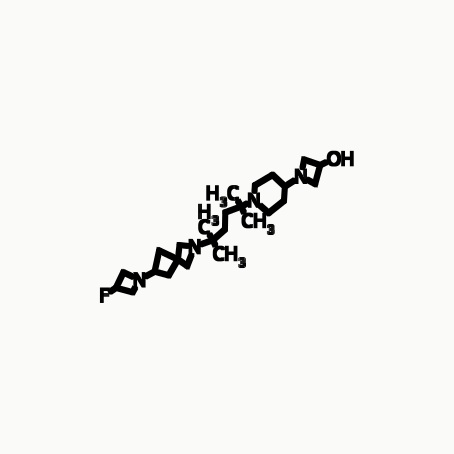 CC(C)(CCC(C)(C)N1CC2(CC(N3CC(F)C3)C2)C1)N1CCC(N2CC(O)C2)CC1